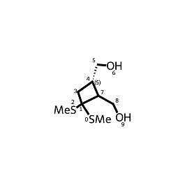 CSC1(SC)C[C@H](CO)C1CO